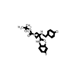 CC(C)(C)OC(=O)N1CC(NCc2ccc(Cl)cc2)(C(=O)Nc2ccc(F)cc2F)C1